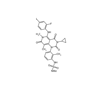 CNS(=O)(=O)Nc1cccc(-n2c(=O)n(C3CC3)c(=O)c3c(Nc4ccc(I)cc4F)n(C)c(=O)c(C)c32)c1C